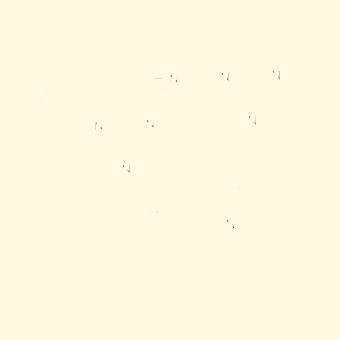 CS(=O)(=O)N1CCC[C@H](Oc2cc(-c3cnc(N)nc3N)nc(N3CCOCC3)n2)C1